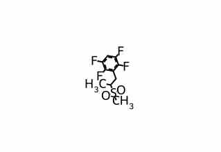 CC(Cc1c(F)c(F)cc(F)c1F)S(C)(=O)=O